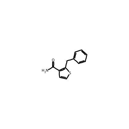 NC(=O)c1ccsc1[CH]c1ccccc1